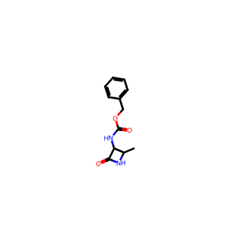 CC1NC(=O)C1NC(=O)OCc1ccccc1